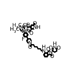 C[C@@H]1CN(c2cc(F)c(C3=CCN(C(=O)CCCCCCNc4cccc5c4C(=O)N(C4CCC(=O)NC4=O)C5=O)CC3)cc2NC(=O)c2c[nH]c(=O)cc2C(F)(F)F)C[C@H](C)N1C